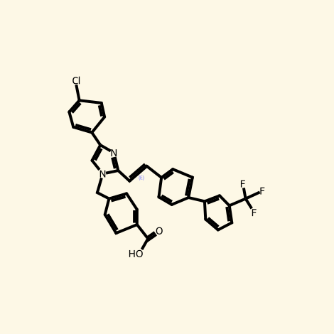 O=C(O)c1ccc(Cn2cc(-c3ccc(Cl)cc3)nc2/C=C/c2ccc(-c3cccc(C(F)(F)F)c3)cc2)cc1